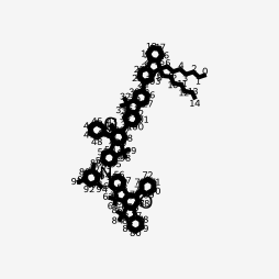 CCCCCCCC1(CCCCCCC)c2ccccc2-c2ccc(-c3ccc4c(c3)C(C)(C)c3cc(-c5cc6c(c7c5oc5ccccc57)-c5ccc(N(c7ccc8c(c7)C(C)(C)c7c9c(c%10oc%11ccccc%11c%10c7-8)-c7ccccc7C9(C)C)c7c(C)cc(C)cc7C)cc5C6(C)C)ccc3-4)cc21